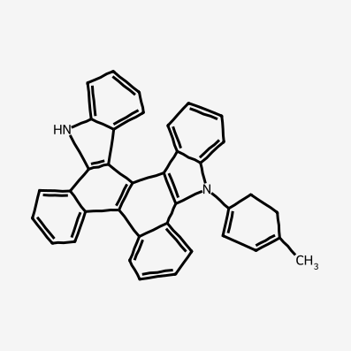 CC1=CC=C(n2c3ccccc3c3c4c(c5ccccc5c5[nH]c6ccccc6c54)c4ccccc4c32)CC1